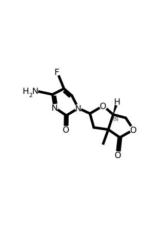 CC12CC(n3cc(F)c(N)nc3=O)O[C@@H]1COC2=O